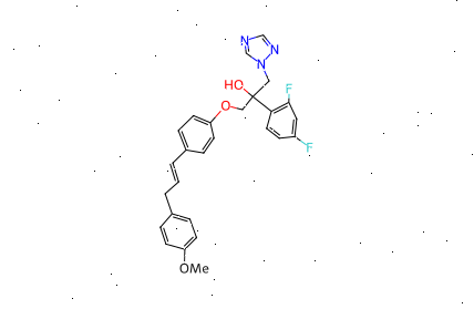 COc1ccc(CC=Cc2ccc(OCC(O)(Cn3cncn3)c3ccc(F)cc3F)cc2)cc1